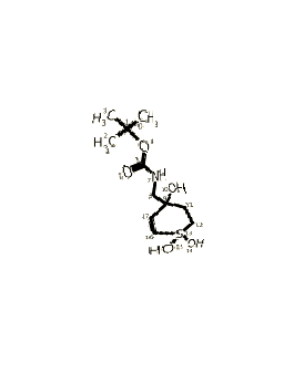 CC(C)(C)OC(=O)NCC1(O)CCS(O)(O)CC1